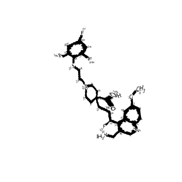 COc1ccc2ncc(CN)c([C@@H](F)CCC3(C(=O)O)CCN(CCSc4c(F)cc(F)cc4F)CC3)c2c1